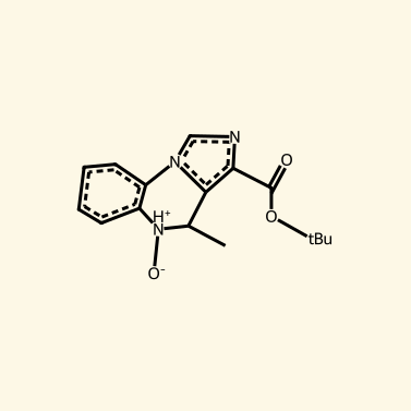 CC1c2c(C(=O)OC(C)(C)C)ncn2-c2ccccc2[NH+]1[O-]